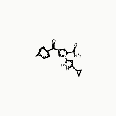 Cc1ccc(C(=O)c2cc(C(N)=O)n(-c3cc(C4CC4)n[nH]3)c2)cc1